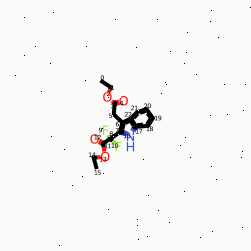 CCOC(=O)Cc1c(C(F)(F)C(=O)OCC)[nH]c2ccccc12